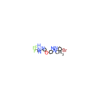 Cn1c(Nc2ccc(Br)cc2)nc2cc(Oc3ccnc(-c4ncc(C(F)(F)F)[nH]4)c3)ccc21